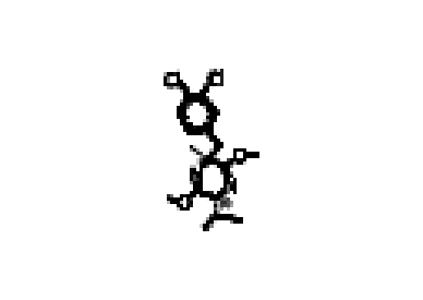 COC1=N[C@@](C)(Cc2ccc(Cl)c(Cl)c2)C(OC)=N[C@@H]1C(C)C